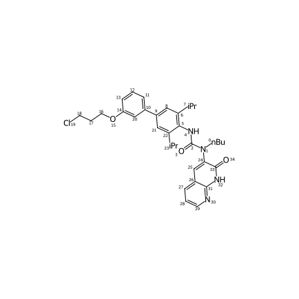 CCCCN(C(=O)Nc1c(C(C)C)cc(-c2cccc(OCCCCl)c2)cc1C(C)C)c1cc2cccnc2[nH]c1=O